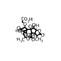 CCCC[C@@H]1CC(C)OC(=O)[C@]23O[C@H]4OC(=O)[C@@H](OCC(=O)O)C14C2(C)[C@H](O)C1OC(=O)C(C)[C@]13O